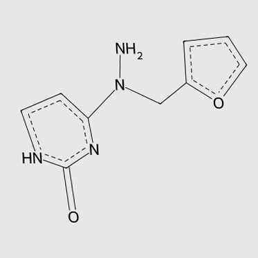 NN(Cc1ccco1)c1cc[nH]c(=O)n1